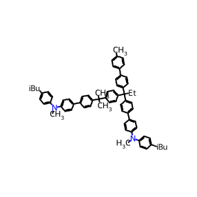 CCC(C)c1ccc(N(C)c2ccc(-c3ccc(C(C)(C)c4ccc(C(CC)(c5ccc(-c6ccc(C)cc6)cc5)c5ccc(-c6ccc(N(C)c7ccc(C(C)CC)cc7)cc6)cc5)cc4)cc3)cc2)cc1